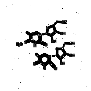 Cc1cn([C@@H]2O[C@H](CO)[C@@H](O)[C@H]2O)c(=O)[nH]c1=O.Cc1cn([C@@H]2O[C@H](CO)[C@@H](O)[C@H]2O)c(=O)[nH]c1=O.O